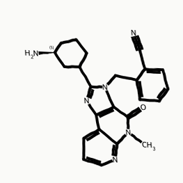 Cn1c(=O)c2c(nc(C3CCC[C@H](N)C3)n2Cc2ccccc2C#N)c2cccnc21